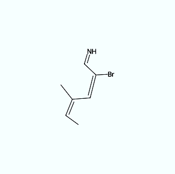 C/C=C(C)\C=C(\Br)C=N